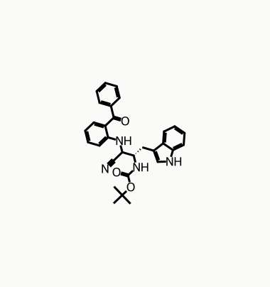 CC(C)(C)OC(=O)N[C@@H](Cc1c[nH]c2ccccc12)C(C#N)Nc1ccccc1C(=O)c1ccccc1